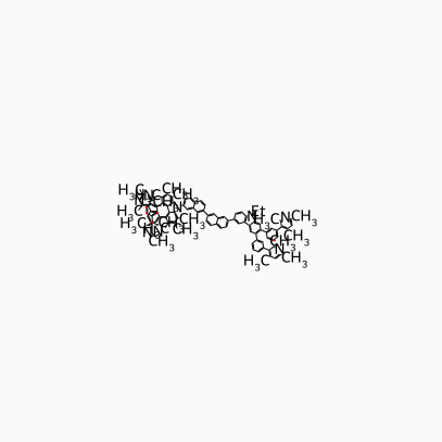 CCn1c2ccc(-c3ccc4ccc(-c5ccc6ccc(-n7c8c(C)c(C)c(C)c(-c9cccc(-c%10c(C)nc(C)nc%10C)c9)c8c8c(-c9cccc(-c%10c(C)nc(C)nc%10C)c9)c(C)c(C)c(C)c87)cc6c5)cc4c3)cc2c2cc(-c3cccc(-c4c(C)cc(C)nc4C)c3)c(-c3cccc(-c4c(C)cc(C)nc4C)c3)cc21